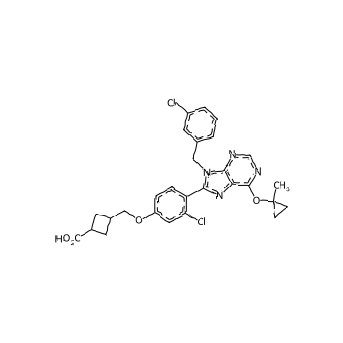 CC1(Oc2ncnc3c2nc(-c2ccc(OCC4CC(C(=O)O)C4)cc2Cl)n3Cc2cccc(Cl)c2)CC1